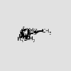 C=C(C)C1NC(=O)C2(C)CSC(=N2)c2csc(n2)CNC(=O)CC(/C=C/CCSC(=O)CCCCCCC)OC1=O